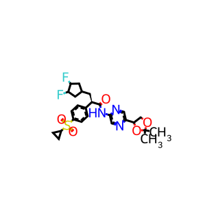 CC1(C)OCC(c2cnc(NC(=O)[C@H](CC3CC(F)C(F)C3)c3ccc(S(=O)(=O)C4CC4)cc3)cn2)O1